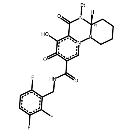 CCN1C(=O)c2c(O)c(=O)c(C(=O)NCc3c(F)ccc(F)c3F)cn2N2CCCC[C@@H]12